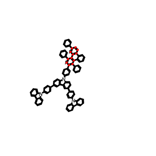 c1ccc(-c2ccc(-c3ccccc3-c3c(-c4ccccc4)c(-c4ccccc4)nc(-c4ccc(-n5c6ccc(-c7ccc(-n8c9ccccc9c9ccccc98)cc7)cc6c6cc(-c7ccc(-n8c9ccccc9c9ccccc98)cc7)ccc65)cc4)c3-c3ccccc3)c(-c3ccccc3)n2)cc1